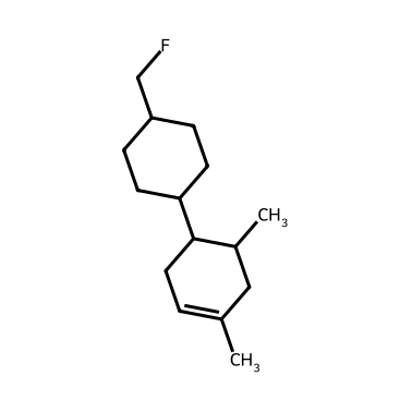 CC1=CCC(C2CCC(CF)CC2)C(C)C1